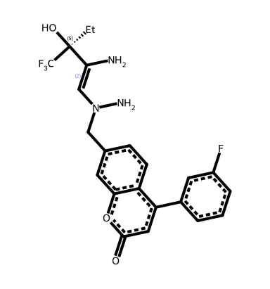 CC[C@](O)(/C(N)=C/N(N)Cc1ccc2c(-c3cccc(F)c3)cc(=O)oc2c1)C(F)(F)F